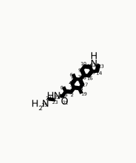 C/C(=C\c1cc(C)c(-c2ccc3[nH]ccc3c2)cc1C)C(=O)NCCN